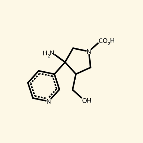 NC1(c2cccnc2)CN(C(=O)O)CC1CO